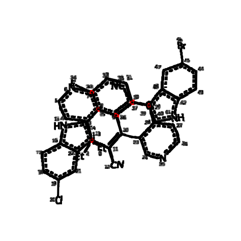 CCN(CC)c1ccncc1C(/C(=C(/C#N)c1c[nH]c2ccc(Cl)cc12)c1cnccc1Oc1ccc(F)cc1)=C(\C#N)c1c[nH]c2ccc(Br)cc12